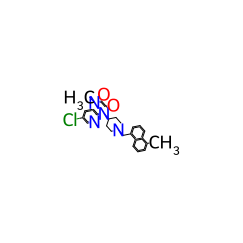 Cc1cccc2c(CN3CCC(n4c(=O)c(=O)n(C)c5cc(Cl)cnc54)CC3)cccc12